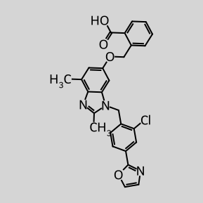 Cc1cc(OCc2ccccc2C(=O)O)cc2c1nc(C)n2Cc1ccc(-c2ncco2)cc1Cl